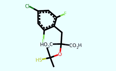 CC(C)(S)OC(Cc1c(F)cc(Cl)cc1F)(C(=O)O)C(=O)O